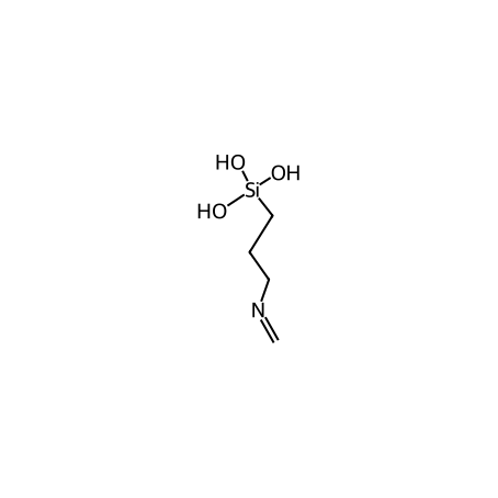 C=NCCC[Si](O)(O)O